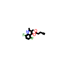 C#CCCC(=O)Oc1c(C)c(C)nc2c(F)ccc(F)c12